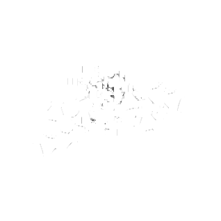 CC(C)C1=Cc2c(-c3ccccc3-c3cccc4ccccc34)cccc2[CH]1[Zr]([Cl])([Cl])([BH]N([Si](C)(C)C)[Si](C)(C)C)[CH]1C(C(C)C)=Cc2c(-c3ccccc3-c3cccc4ccccc34)cccc21